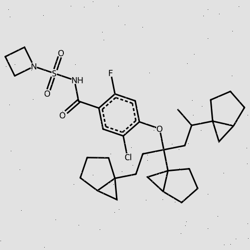 CC(CC(CCC12CCCC1C2)(Oc1cc(F)c(C(=O)NS(=O)(=O)N2CCC2)cc1Cl)C12CCCC1C2)C12CCCC1C2